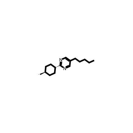 [CH2][C@H]1CC[C@H](c2ncc(CCCCC)cn2)CC1